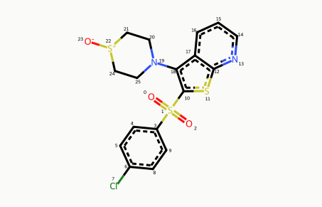 O=S(=O)(c1ccc(Cl)cc1)c1sc2ncccc2c1N1CC[S+]([O-])CC1